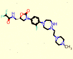 CN1CCN(CCN2CCN(c3ccc(N4C[C@H](CNC(=O)C(F)F)OC4=O)cc3F)CCN2)CC1